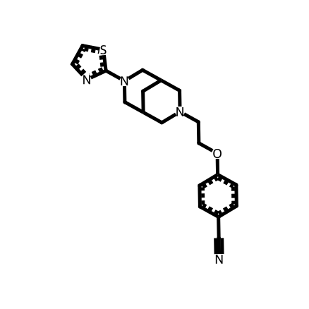 N#Cc1ccc(OCCN2CC3CC(C2)CN(c2nccs2)C3)cc1